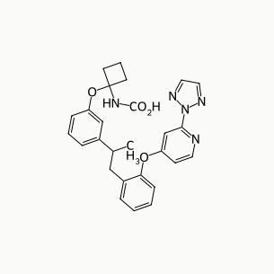 CC(Cc1ccccc1Oc1ccnc(-n2nccn2)c1)c1cccc(OC2(NC(=O)O)CCC2)c1